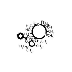 CC[C@H]1OC(=O)[C@H](C)[C@@H](O)[C@H](C)[C@@H](O[C@@H]2O[C@H](C)C[C@H](N(C)C)[C@H]2OC(=O)c2ccccc2)[C@@](C)(O)C[C@@H](C)CN(C)[C@H](C)[C@@H](O)[C@]1(C)O